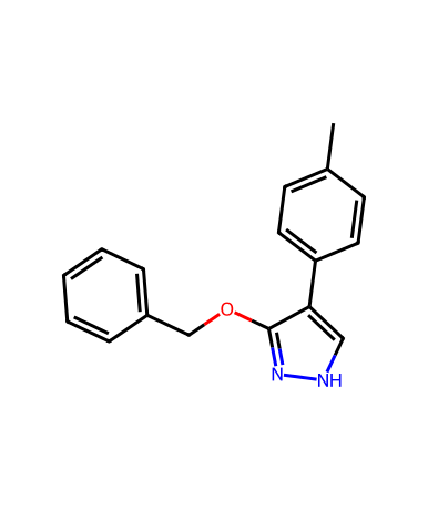 Cc1ccc(-c2c[nH]nc2OCc2ccccc2)cc1